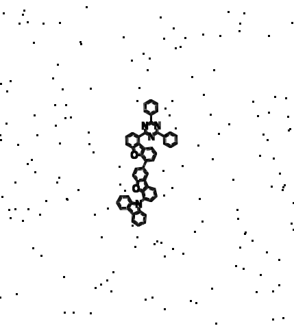 c1ccc(-c2nc(-c3ccccc3)nc(-c3cccc4oc5c(-c6ccc7oc8c(-n9c%10ccccc%10c%10ccccc%109)cccc8c7c6)cccc5c34)n2)cc1